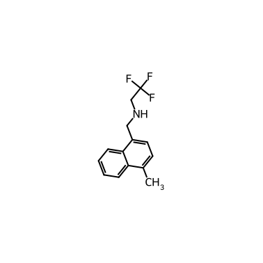 Cc1ccc(CNCC(F)(F)F)c2ccccc12